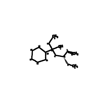 C=C[C@H](CC)CC(O)(CC)C1CCCCC1